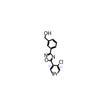 C/C=C(\C(Cl)=C/C(C)C)c1nc(-c2cccc(CO)c2)no1